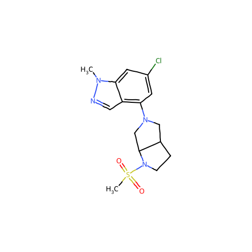 Cn1ncc2c(N3CC4CCN(S(C)(=O)=O)C4C3)cc(Cl)cc21